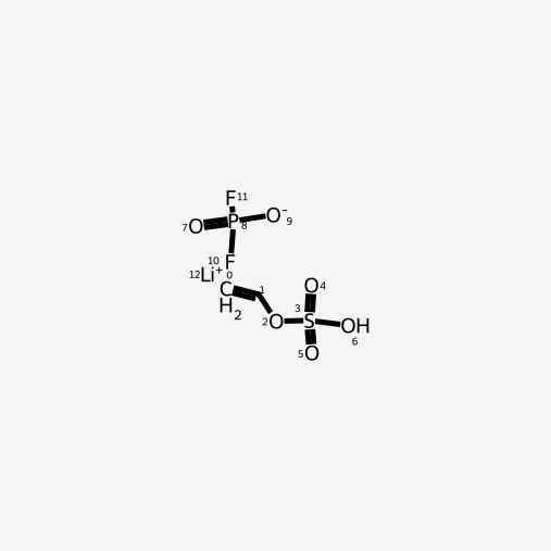 C=COS(=O)(=O)O.O=P([O-])(F)F.[Li+]